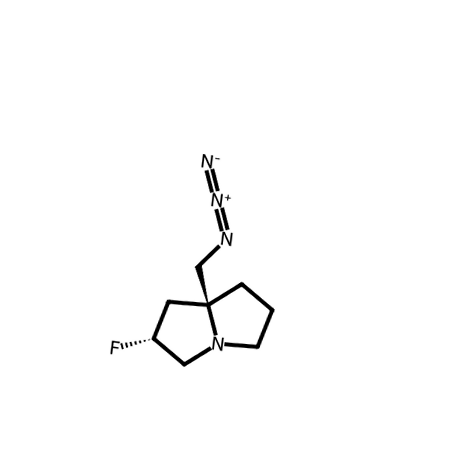 [N-]=[N+]=NC[C@@]12CCCN1C[C@H](F)C2